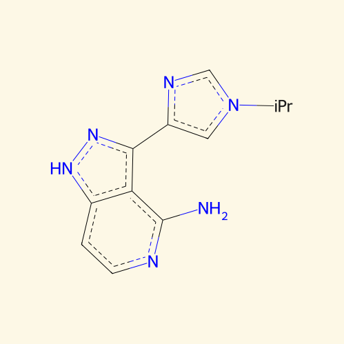 CC(C)n1cnc(-c2n[nH]c3ccnc(N)c23)c1